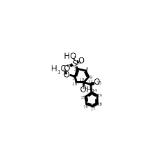 COC1=C(S(=O)(=O)O)C=CC(O)(C(=O)c2ccccc2)C1